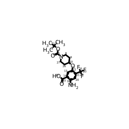 CC(C)(C)OC(=O)N1CCC(Oc2cc(C(=O)O)c(N)cc2C(F)(F)F)CC1